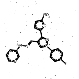 O=[N+]([O-])c1ccc(-c2nn(-c3ccc(F)cc3)cc2C=NNc2cccnc2)o1